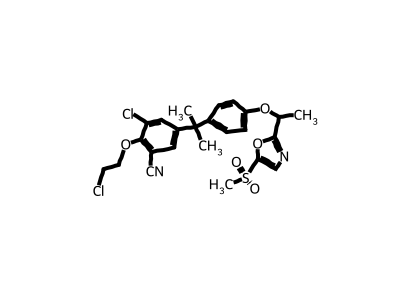 CC(Oc1ccc(C(C)(C)c2cc(Cl)c(OCCCl)c(C#N)c2)cc1)c1ncc(S(C)(=O)=O)o1